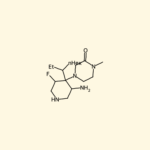 CCCCCCC(CC)C1(N2CCN(C)C(=O)C2)C(N)CNCC1F